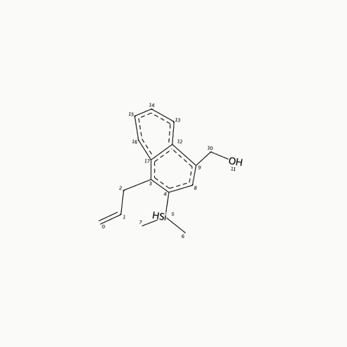 C=CCc1c([SiH](C)C)cc(CO)c2ccccc12